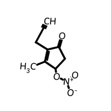 C#CCC1=C(C)C(O[N+](=O)[O-])CC1=O